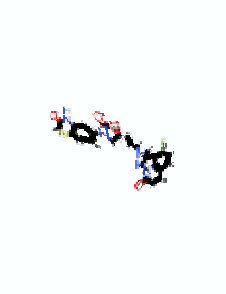 CC1(NCCC[C@@H]2CN(c3ccc4c(c3)NC(=O)CS4)C(=O)O2)Cn2c(=O)ccc3ccc(F)c1c32